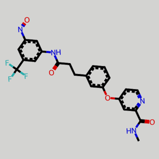 CNC(=O)c1cc(Oc2cccc(CCC(=O)Nc3cc(N=O)cc(C(F)(F)F)c3)c2)ccn1